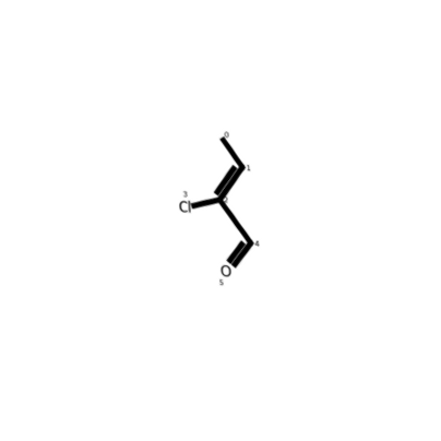 CC=C(Cl)C=O